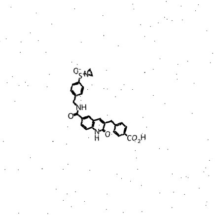 O=C(O)c1ccc(Cc2cc3cc(C(=O)NCc4ccc([S+]([O-])N5CC5)cc4)ccc3[nH]c2=O)cc1